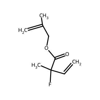 C=CC(C)(F)C(=O)OCC(=C)C